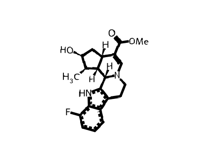 COC(=O)C1=CN2CCc3c([nH]c4c(F)cccc34)[C@@H]2[C@@H]2[C@@H](C)[C@@H](O)C[C@H]12